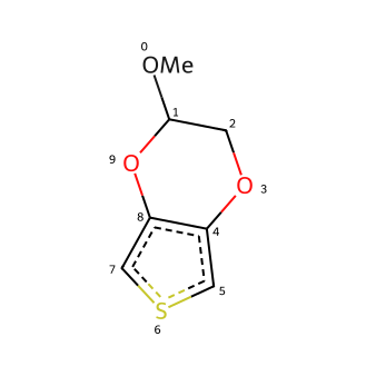 COC1COc2cscc2O1